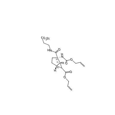 C=CCOC(=O)N[C@@]1(C(=O)NCCC(=O)OCC)CC[C@H]2C(C(=O)OCC=C)[C@H]21